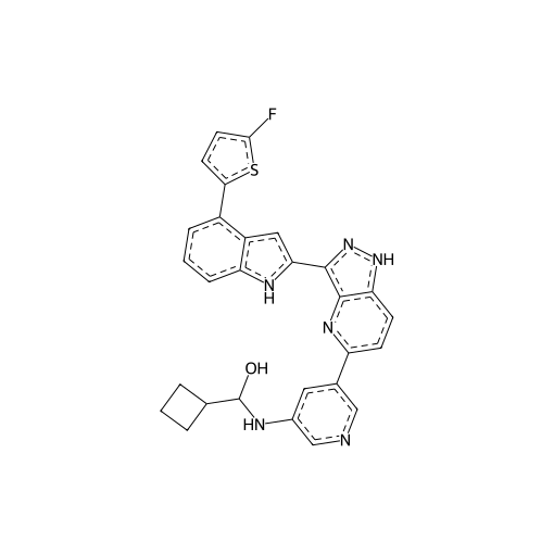 OC(Nc1cncc(-c2ccc3[nH]nc(-c4cc5c(-c6ccc(F)s6)cccc5[nH]4)c3n2)c1)C1CCC1